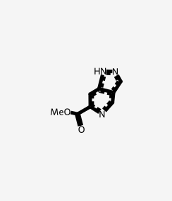 COC(=O)c1cc2[nH]ncc2cn1